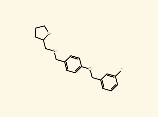 Fc1cccc(COc2ccc(CNCC3CCCO3)cc2)c1